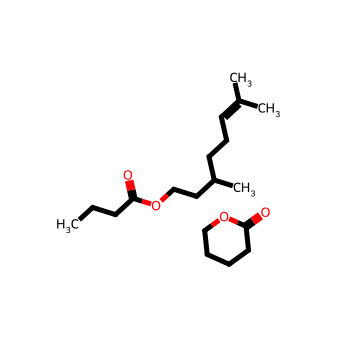 CCCC(=O)OCCC(C)CCC=C(C)C.O=C1CCCCO1